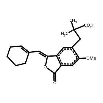 COc1cc2c(cc1CC(C)(C)C(=O)O)/C(=C/C1=CCCCC1)OC2=O